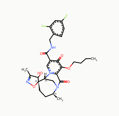 CCCCOc1c2n(cc(C(=O)NCc3ccc(F)cc3F)c1=O)[C@@H]1CN(C2=O)[C@@H](C)CC[C@]12ON=C(C)C2O